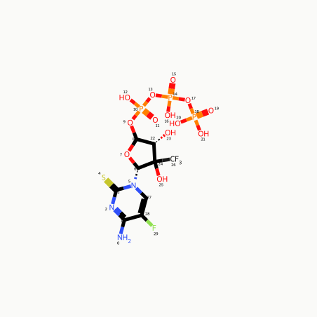 Nc1nc(=S)n([C@@H]2OC(OP(=O)(O)OP(=O)(O)OP(=O)(O)O)[C@H](O)C2(O)C(F)(F)F)cc1F